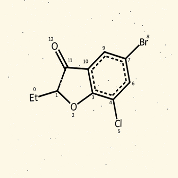 CCC1Oc2c(Cl)cc(Br)cc2C1=O